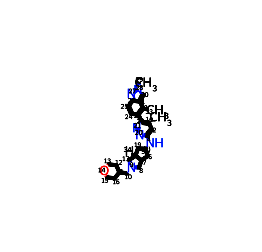 Cc1cc(N[C@@H]2CC3CN(CC4CCOCC4)C[C@H]3C2)nnc1-c1ccc2nn(C)cc2c1C